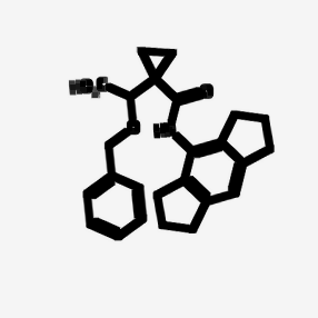 O=C(O)C(OCc1ccccc1)C1(C(=O)Nc2c3c(cc4c2CCC4)CCC3)CC1